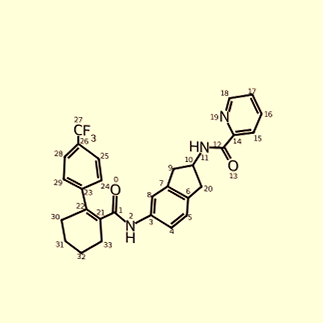 O=C(Nc1ccc2c(c1)CC(NC(=O)c1ccccn1)C2)C1=C(c2ccc(C(F)(F)F)cc2)CCCC1